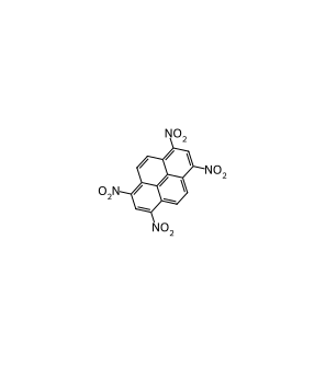 O=[N+]([O-])c1cc([N+](=O)[O-])c2ccc3c([N+](=O)[O-])cc([N+](=O)[O-])c4ccc1c2c43